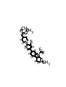 COC(CC1CCN(c2ncc(-c3ccc4c5c(n(C(F)F)c4c3)CN(C)CC5)cc2F)CC1)OC